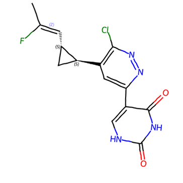 C/C(F)=C/[C@H]1C[C@@H]1c1cc(-c2c[nH]c(=O)[nH]c2=O)nnc1Cl